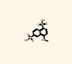 O=S(=O)(O)c1ccc2c(S(=O)(=O)O)ccc(NI)c2c1